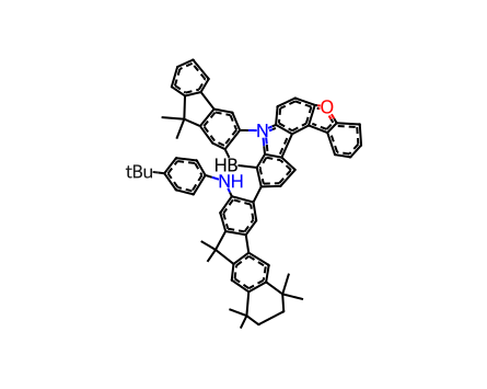 CC(C)(C)c1ccc(Nc2cc3c(cc2-c2ccc4c5c6c(ccc5n5c4c2Bc2cc4c(cc2-5)-c2ccccc2C4(C)C)oc2ccccc26)-c2cc4c(cc2C3(C)C)C(C)(C)CCC4(C)C)cc1